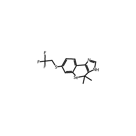 CC1(C)[Se]c2cc(SCC(F)(F)F)ccc2-c2nc[nH]c21